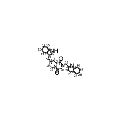 O=C1C2CN(Cc3c[nH]c4ccccc34)CCN2C(=O)CN1Cc1ccc2ccccc2n1